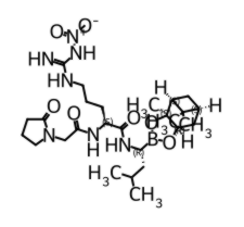 CC(C)C[C@H](NC(=O)[C@H](CCCNC(=N)N[N+](=O)[O-])NC(=O)CN1CCCC1=O)B1O[C@@H]2C[C@@H]3C[C@@H](C3(C)C)[C@]2(C)O1